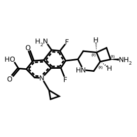 Nc1c(F)c(C2C[C@H]3C[C@@H](N)[C@H]3CN2)c(F)c2c1c(=O)c(C(=O)O)cn2C1CC1